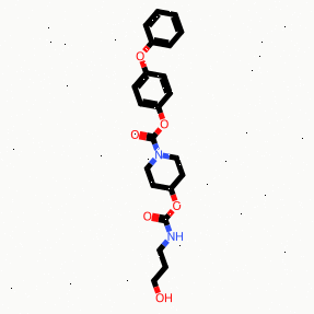 O=C(NCCCO)OC1CCN(C(=O)Oc2ccc(Oc3ccccc3)cc2)CC1